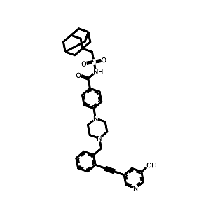 O=C(NS(=O)(=O)CC12CC3CC(CC(C3)C1)C2)c1ccc(N2CCN(Cc3ccccc3C#Cc3cncc(O)c3)CC2)cc1